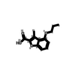 CCCOc1cccc2oc(C(=O)O)c(C)c12